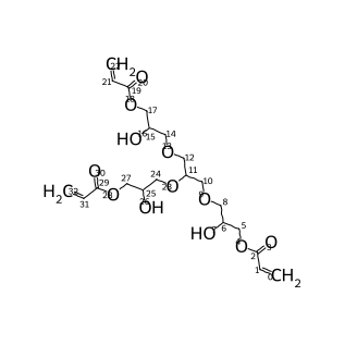 C=CC(=O)OCC(O)COCC(COCC(O)COC(=O)C=C)OCC(O)COC(=O)C=C